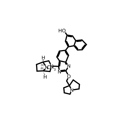 CN1[C@@H]2CC[C@H]1CN(c1nc(OCC34CCCN3CCC4)nc3cc(-c4cc(O)cc5ccccc45)ccc13)C2